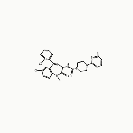 Cc1cccc(N2CCN(C(=S)NC3N=C(c4ccccc4Cl)c4cc(Cl)ccc4N(C)C3=O)CC2)n1